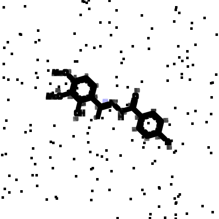 COc1ccc(/C(C)=N/NC(=O)c2ccc(Br)cc2)c(O)c1OC